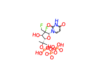 CC(C)(OP(=O)(O)OP(=O)(O)OP(=O)(O)O)[C@H]1O[C@@H](n2ccc(=O)[nH]c2=O)[C@@](F)(CF)C1O